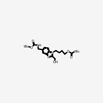 CC(C)(C)OC(=O)NCc1ccc2c(c1)nc(CO)n2CCCCOC(=O)C(C)(C)C